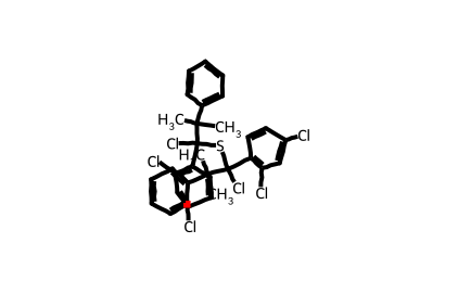 CC(C)(c1ccccc1)C(Cl)(SC(Cl)(c1ccc(Cl)cc1Cl)C(C)(C)c1ccccc1)c1ccc(Cl)cc1Cl